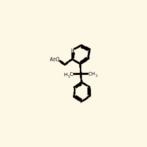 CC(=O)OCc1ncccc1C(C)(C)c1ccccc1